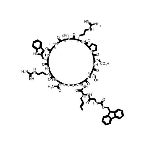 CC=CC[C@H](NC(=O)CNC(=O)OCC1c2ccccc2-c2ccccc21)C(=O)N[C@H]1CCCC[C@@H](C(N)=O)NC(=O)[C@H](CCCNC(=N)N)NC(=O)[C@H](Cc2cc3ccccc3[nH]2)NC(=O)[C@H](C)NC(=O)[C@H](CCC)NC(=O)[C@H](CCCNC(=N)N)NC(=O)C2CCCN2C(=O)[C@H](CC(=O)O)NC(=O)[C@H](CO)NC1=O